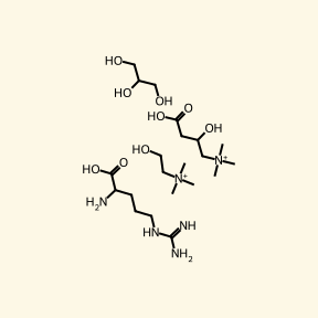 C[N+](C)(C)CC(O)CC(=O)O.C[N+](C)(C)CCO.N=C(N)NCCCC(N)C(=O)O.OCC(O)CO